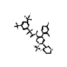 Cc1cc(F)ccc1C1=C(N(C)C(=O)C(C)(C)c2cc(C(F)(F)F)cc(C(F)(F)F)c2)CN(S(C)(=O)=O)C(C2CCCNC2)=C1